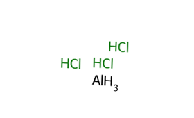 Cl.Cl.Cl.[AlH3]